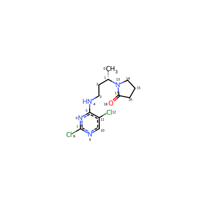 C[C@@H](CCNc1nc(Cl)ncc1Cl)N1CCCC1=O